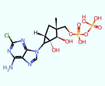 C[C@]1(COP(=O)(O)OP(=O)(O)O)C[C@H]2C(n3cnc4c(N)nc(Cl)nc43)[C@]2(O)[C@@H]1O